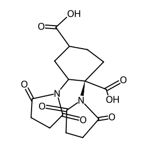 O=C(O)C1CC[C@@](C(=O)O)(N2C(=O)CCC2=O)C(N2C(=O)CCC2=O)C1